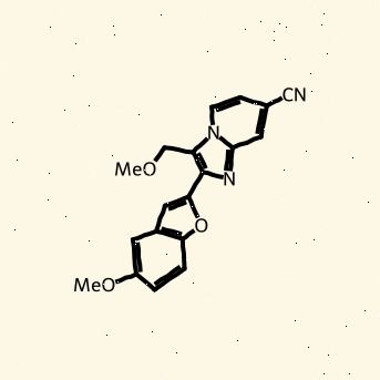 COCc1c(-c2cc3cc(OC)ccc3o2)nc2cc(C#N)ccn12